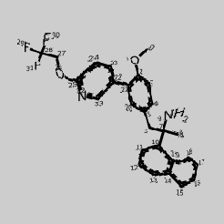 COc1ccc(CC(C)(N)c2cccc3ccccc23)cc1-c1ccc(OCC(F)(F)F)nc1